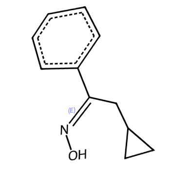 O/N=C(\CC1CC1)c1ccccc1